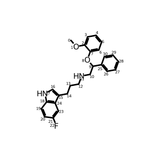 COc1ccccc1OC(CNCCCc1c[nH]c2ccc(F)cc12)c1ccccc1